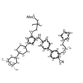 COCC(C)(C)COc1nn(C2CCC(N3C[C@@H](C)O[C@@H](C)C3)CC2)cc1Nc1ncc(-c2ccc(C#N)c(O[C@@H](C)Cn3cnnn3)c2)cn1